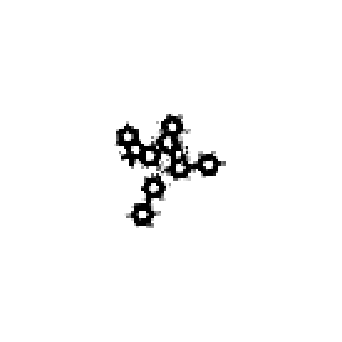 CC1(C)c2ccccc2-c2ccc(N(c3ccc(-c4ccccc4)cc3)c3ccc(-c4ccccc4)c4oc5c6ccccc6ccc5c34)cc21